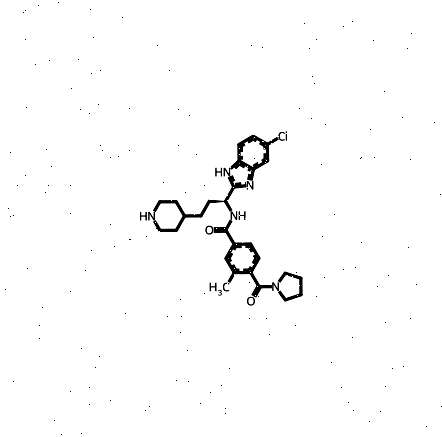 Cc1cc(C(=O)N[C@@H](CCC2CCNCC2)c2nc3cc(Cl)ccc3[nH]2)ccc1C(=O)N1CCCC1